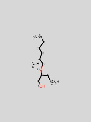 CCCCCCCCCCCCCCOC(CO)CS(=O)(=O)O.[NaH]